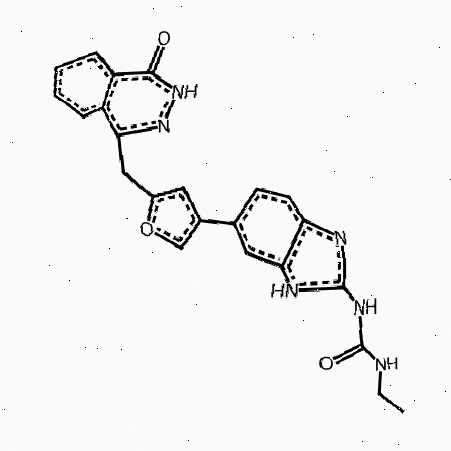 CCNC(=O)Nc1nc2ccc(-c3coc(Cc4n[nH]c(=O)c5ccccc45)c3)cc2[nH]1